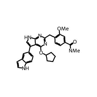 CNC(=O)c1ccc(Cc2nc(OC3CCCC3)c3c(-c4ccc5[nH]ccc5c4)c[nH]c3n2)c(OC)c1